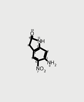 Nc1cc2c(cc1[N+](=O)[O-])CC(=O)N2